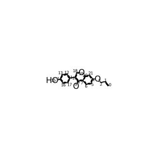 C=CCOc1ccc2c(=O)c(-c3ccc(O)cc3)coc2c1